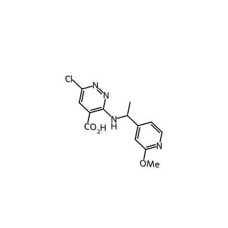 COc1cc(C(C)Nc2nnc(Cl)cc2C(=O)O)ccn1